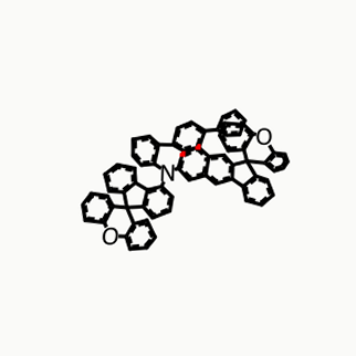 c1ccc(-c2ccc(-c3ccccc3N(c3ccc4cc5c(cc4c3)-c3ccccc3C53c4ccccc4Oc4ccccc43)c3cccc4c3-c3ccccc3C43c4ccccc4Oc4ccccc43)cc2)cc1